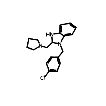 Clc1ccc(CN2c3ccccc3NC2CN2CCCC2)cc1